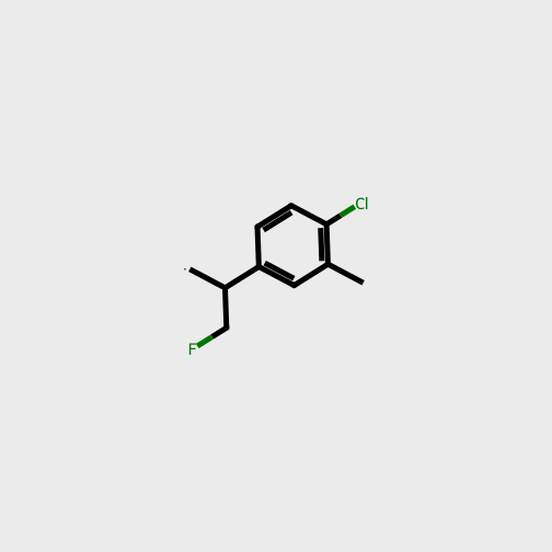 [CH2]C(CF)c1ccc(Cl)c(C)c1